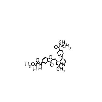 CNC(=O)Nc1ccc2c(c1)C(=O)C(=Cc1cn(C)c3nccc(N4CCC(C(=O)N(C)C)CC4)c13)O2